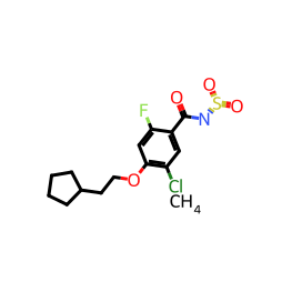 C.O=C(N=S(=O)=O)c1cc(Cl)c(OCCC2CCCC2)cc1F